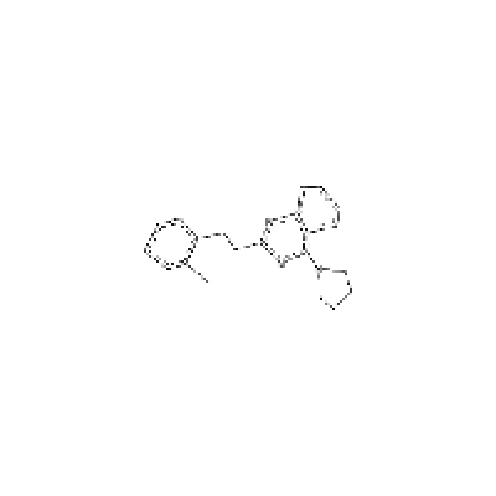 Cc1ccccc1CCc1nc(N2CCCC2)c2ccccc2n1